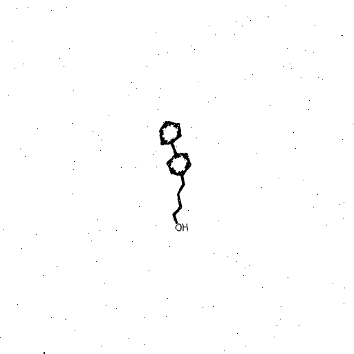 OCCCCc1ccc(-c2cc[c]cc2)cc1